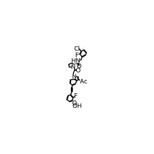 CC(=O)c1cn(CC(=O)N2CCC[C@H]2C(=O)NCc2cccc(Cl)c2F)c2ccc(C#Cc3cccc(OO)c3F)cc12